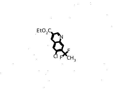 CCOC(=O)c1cnc2cc(C(C)(F)F)c(Cl)cc2c1